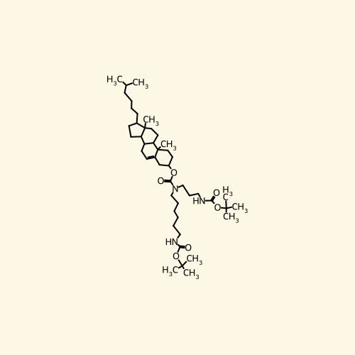 CC(C)CCCCC1CCC2C3CC=C4CC(OC(=O)N(CCCCCCNC(=O)OC(C)(C)C)CCCNC(=O)OC(C)(C)C)CCC4(C)C3CCC12C